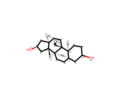 C=C[C@]12CC[C@]3(C)C[C@H](O)C[C@H]3[C@@H]1CCC1CC(O)CC[C@@H]12